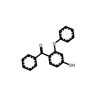 O=C(c1ccccc1)c1ccc(O)cc1Oc1ccccc1